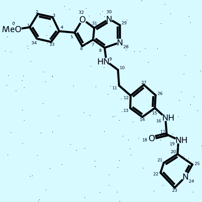 COc1ccc(-c2cc3c(NCCc4ccc(NC(=O)Nc5cccnc5)cc4)ncnc3o2)cc1